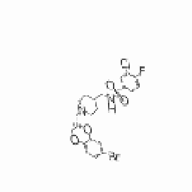 O=S(=O)(NCC1CCN(C[C@H]2COc3ccc(Br)cc3O2)CC1)c1ccc(F)c(Cl)c1